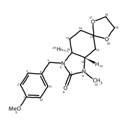 COc1ccc(CN2C(=O)N(C)[C@H]3CC4(CC[C@@H]32)OCCO4)cc1